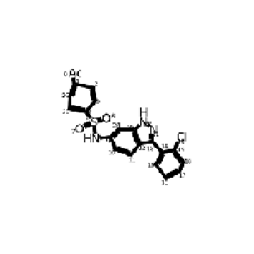 CC(=O)c1ccc(S(=O)(=O)Nc2ccc3c(-c4ccccc4Cl)n[nH]c3c2)cc1